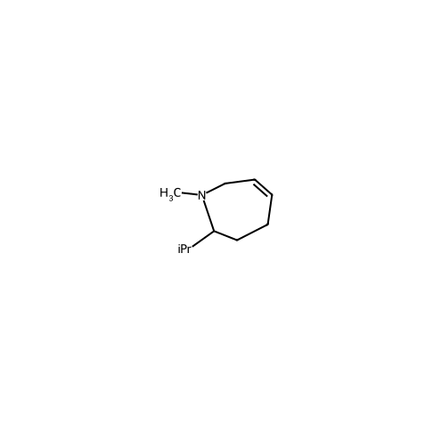 CC(C)C1CCC=CCN1C